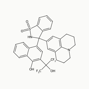 O=S1(=O)NC(c2cc3c4c(c2)CCCN4CCC3)(c2cc(C(O)(C(F)(F)F)C(F)(F)F)c(O)c3ccccc23)c2ccccc21